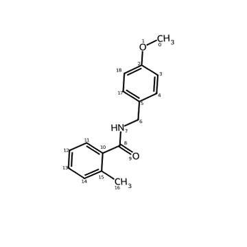 COc1ccc(CNC(=O)c2ccccc2C)cc1